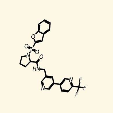 O=C(NCc1cncc(-c2ccc(C(F)(F)F)nc2)c1)C1CCCN1S(=O)(=O)c1cc2ccccc2o1